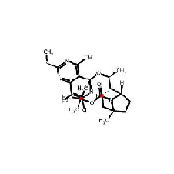 CSc1nc(O)c2c(O[C@@H](C)[C@H]3NC[C@@]4(C)CC[C@@H]3N4C(=O)OC(C)(C)C)nc(Cl)c(F)c2n1